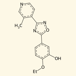 CCOc1ccc(-c2nc(-c3ccncc3C)no2)cc1O